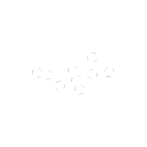 c1cc(-c2ccc3ccccc3c2)cc(-c2c3ccccc3c(-c3cc4oc5ccccc5c4c4c3oc3ccccc34)c3ccccc23)c1